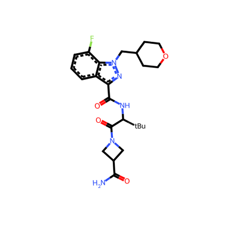 CC(C)(C)C(NC(=O)c1nn(CC2CCOCC2)c2c(F)cccc12)C(=O)N1CC(C(N)=O)C1